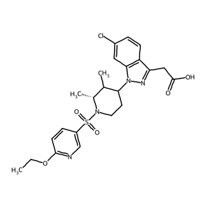 CCOc1ccc(S(=O)(=O)N2CCC(n3nc(CC(=O)O)c4ccc(Cl)cc43)C(C)[C@H]2C)cn1